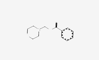 O=C(OCN1CCOCC1)c1ccccc1